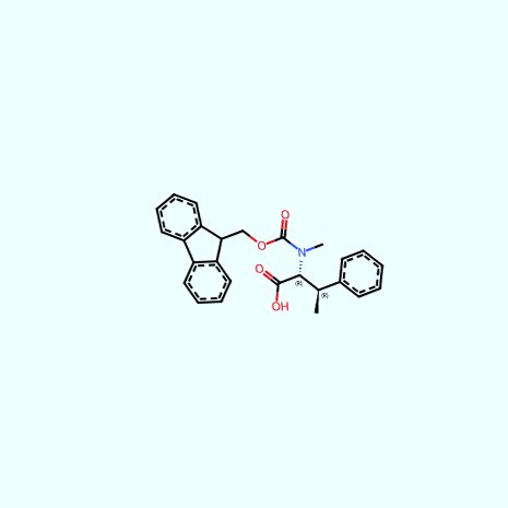 C[C@H](c1ccccc1)[C@H](C(=O)O)N(C)C(=O)OCC1c2ccccc2-c2ccccc21